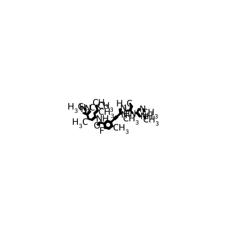 C/C=C(/NC(/C=N\C)=C/NC)c1ncc(C#Cc2cc(C(=O)NC(=C/C(C)c3cnn(C)c3)/C=C(\C)C(C)(C)C)c(F)cc2C)n1C